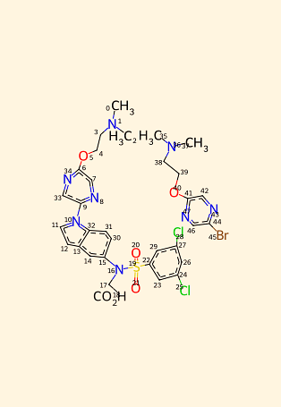 CN(C)CCOc1cnc(-n2ccc3cc(N(CC(=O)O)S(=O)(=O)c4cc(Cl)cc(Cl)c4)ccc32)cn1.CN(C)CCOc1cnc(Br)cn1